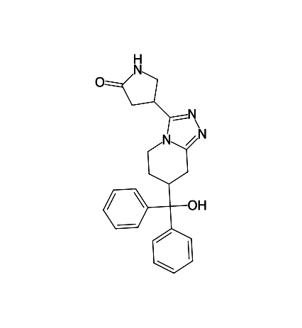 O=C1CC(c2nnc3n2CCC(C(O)(c2ccccc2)c2ccccc2)C3)CN1